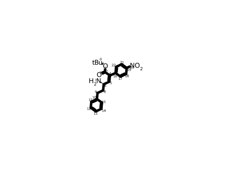 CC(C)(C)OC(=O)C(=C[C@@H](N)CCc1ccccc1)c1ccc([N+](=O)[O-])cc1